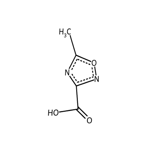 Cc1nc(C(=O)O)no1